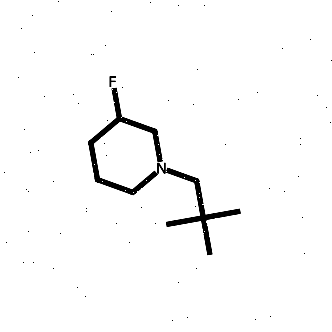 CC(C)(C)CN1CCCC(F)C1